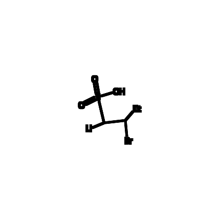 [Li][CH](C(Br)CC)S(=O)(=O)O